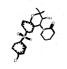 CC1(C)Oc2ccc(S(=O)(=O)c3ccc(Cl)cc3)cc2C(N2CCCCC2=O)C1O